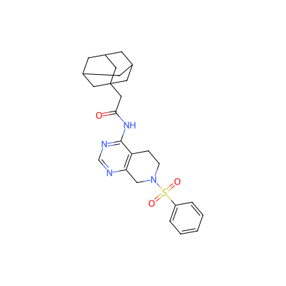 O=C(CC12CC3CC(CC(C3)C1)C2)Nc1ncnc2c1CCN(S(=O)(=O)c1ccccc1)C2